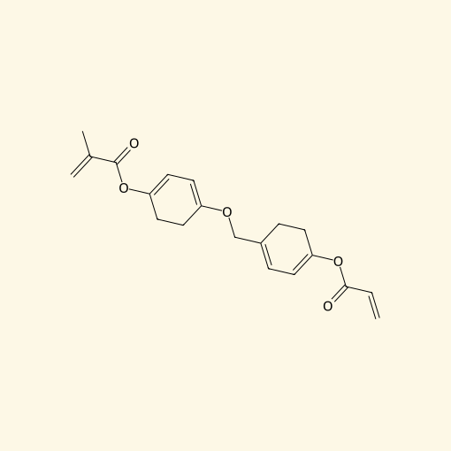 C=CC(=O)OC1=CC=C(COC2=CC=C(OC(=O)C(=C)C)CC2)CC1